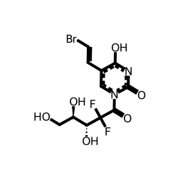 O=C(n1cc(/C=C/Br)c(O)nc1=O)C(F)(F)[C@H](O)[C@H](O)CO